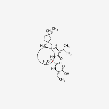 CC[C@H](NC(=O)[C@H](C)NC(=O)[C@@H](NC1(CC2(C)CCC(C)(CC)C2)CCCCCCCCCCC1)C(C)C)C(=O)O